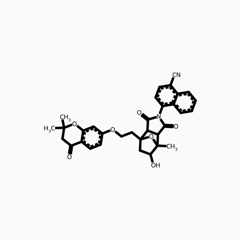 CC1(C)CC(=O)c2ccc(OCCC34CC(O)C(C)(O3)C3C(=O)N(c5ccc(C#N)c6ccccc56)C(=O)C34)cc2O1